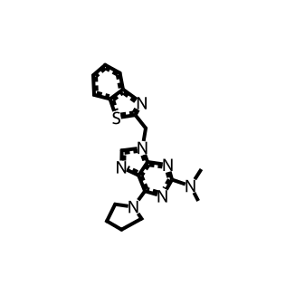 CN(C)c1nc(N2CCCC2)c2ncn(Cc3nc4ccccc4s3)c2n1